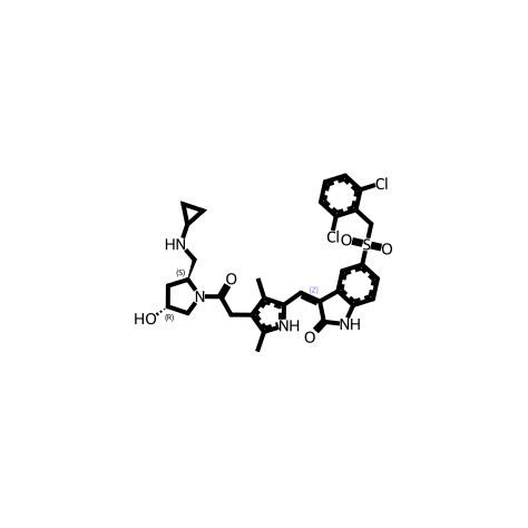 Cc1[nH]c(/C=C2\C(=O)Nc3ccc(S(=O)(=O)Cc4c(Cl)cccc4Cl)cc32)c(C)c1CC(=O)N1C[C@H](O)C[C@H]1CNC1CC1